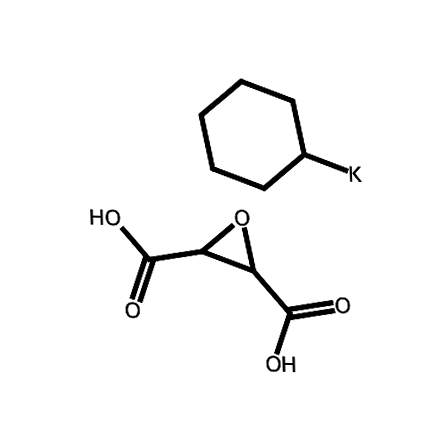 O=C(O)C1OC1C(=O)O.[K][CH]1CCCCC1